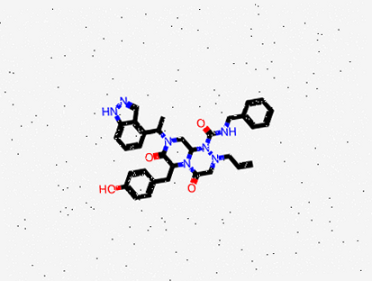 C=CCN1CC(=O)N2C(Cc3ccc(O)cc3)C(=O)N(C(C)c3cccc4[nH]ncc34)CC2N1C(=O)NCc1ccccc1